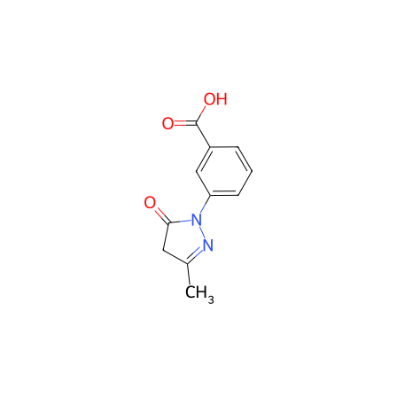 CC1=NN(c2cccc(C(=O)O)c2)C(=O)C1